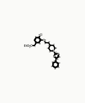 CCOC(=O)Cc1ccc(Cl)c(OCCC2CCN(c3ncc(-c4ccccc4)s3)CC2)c1